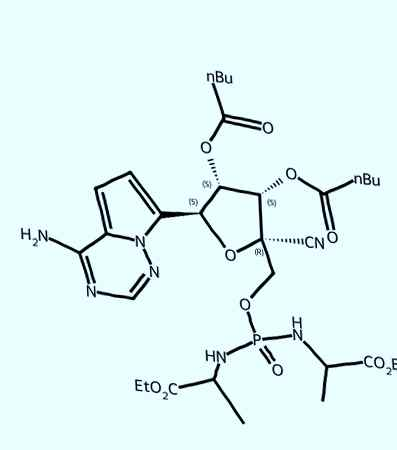 CCCCC(=O)O[C@H]1[C@H](c2ccc3c(N)ncnn23)O[C@](C#N)(COP(=O)(NC(C)C(=O)OCC)NC(C)C(=O)OCC)[C@H]1OC(=O)CCCC